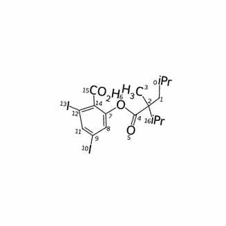 CC(C)CC(C)(C(=O)Oc1cc(I)cc(I)c1C(=O)O)C(C)C